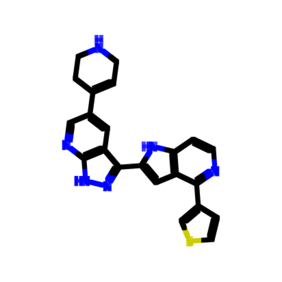 C1=C(c2cnc3[nH]nc(-c4cc5c(-c6ccsc6)nccc5[nH]4)c3c2)CCNC1